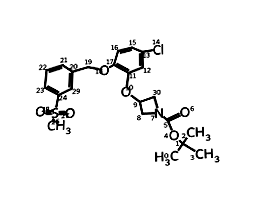 CC(C)(C)OC(=O)N1CC(Oc2cc(Cl)ccc2OCc2cccc(S(C)(=O)=O)c2)C1